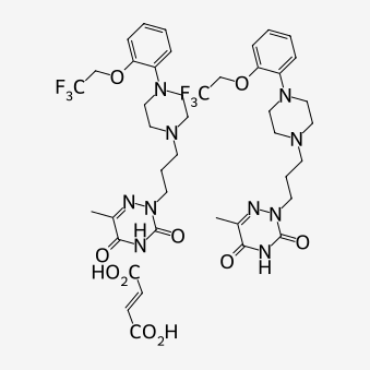 Cc1nn(CCCN2CCN(c3ccccc3OCC(F)(F)F)CC2)c(=O)[nH]c1=O.Cc1nn(CCCN2CCN(c3ccccc3OCC(F)(F)F)CC2)c(=O)[nH]c1=O.O=C(O)/C=C/C(=O)O